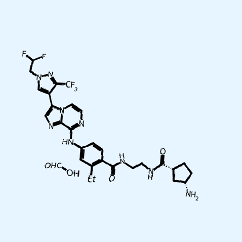 CCc1cc(Nc2nccn3c(-c4cn(CC(F)F)nc4C(F)(F)F)cnc23)ccc1C(=O)NCCNC(=O)[C@@H]1CC[C@H](N)C1.O=CO